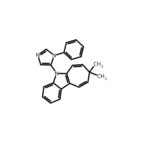 CC1(C)C=Cc2c(n(-c3cncn3-c3ccccc3)c3ccccc23)C=C1